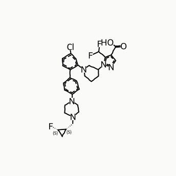 O=C(O)c1cnn(C2CCCN(c3cc(Cl)ccc3-c3ccc(N4CCN(C[C@@H]5C[C@@H]5F)CC4)cc3)C2)c1C(F)F